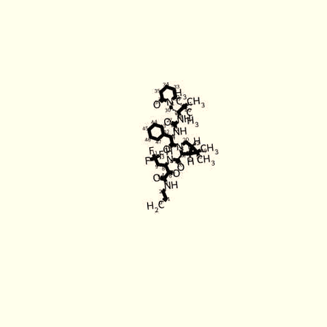 C=CCNC(=O)C(=O)C(CC(F)(F)F)NC(=O)[C@@H]1[C@@H]2[C@H](CN1C(=O)[C@@H](NC(=O)N[C@H](CN1CCCCC1=O)C(C)(C)C)C1CCCCC1)C2(C)C